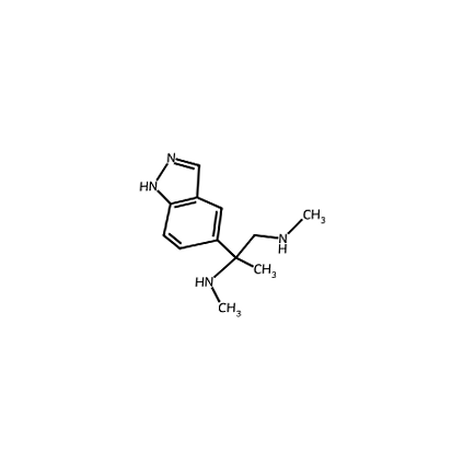 CNCC(C)(NC)c1ccc2[nH]ncc2c1